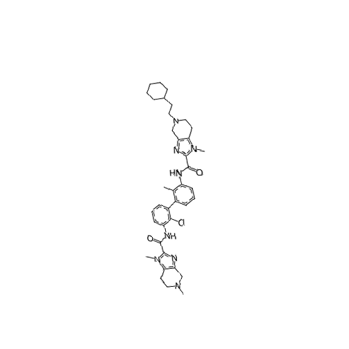 Cc1c(NC(=O)c2nc3c(n2C)CCN(CCC2CCCCC2)C3)cccc1-c1cccc(NC(=O)c2nc3c(n2C)CCN(C)C3)c1Cl